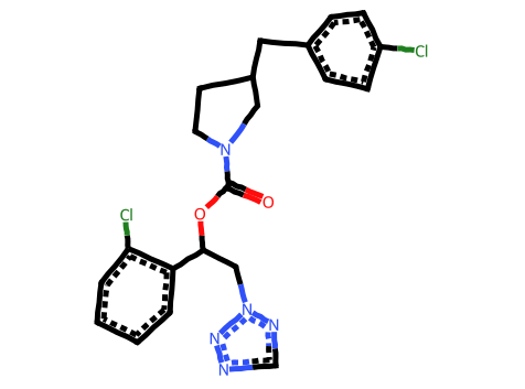 O=C(OC(Cn1ncnn1)c1ccccc1Cl)N1CCC(Cc2ccc(Cl)cc2)C1